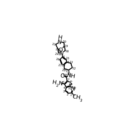 Cc1ccc2c(N)c(C(=O)N[C@@H]3CCc4cc(N5CC6CNCC(C5)O6)ccc4C3)sc2n1